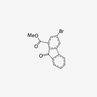 COC(=O)c1cc(Br)cc2c1C(=O)c1ccccc1-2